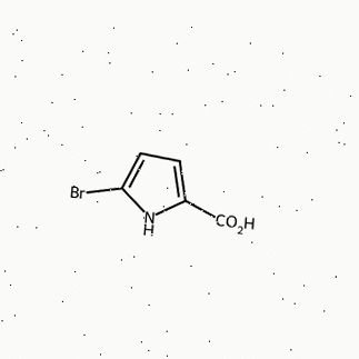 O=C(O)c1ccc(Br)[nH]1